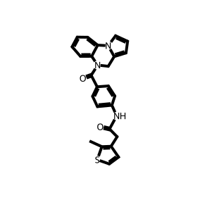 Cc1sccc1CC(=O)Nc1ccc(C(=O)N2Cc3cccn3-c3ccccc32)cc1